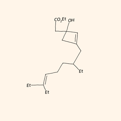 CCOC(=O)CC1(O)C=C(CC(CC)CCC=C(CC)CC)C1